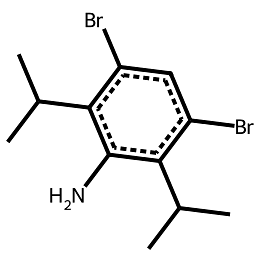 CC(C)c1c(Br)cc(Br)c(C(C)C)c1N